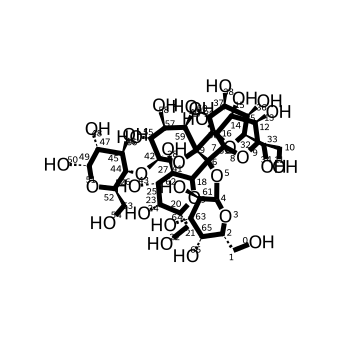 OC[C@H]1OC(OC(C2O[C@H](CO)[C@H](O)[C@H](O)[C@H]2O)(C2O[C@H](CO)[C@H](O)[C@H](O)[C@H]2O)[C@@]2(C3O[C@H](CO)[C@H](O)[C@H](O)[C@H]3O)O[C@@H](O[C@H]3[C@H](O)[C@@H](O)[C@@H](O)O[C@@H]3CO)[C@H](O)[C@@H](O)[C@H]2O)[C@H](O)[C@@H](O)[C@H]1O